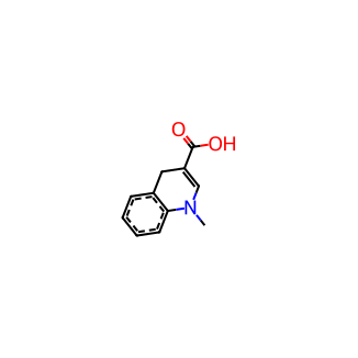 CN1C=C(C(=O)O)Cc2ccccc21